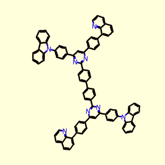 c1cnc2c(-c3ccc(-c4cc(-c5ccc(-n6c7ccccc7c7ccccc76)cc5)nc(-c5ccc(-c6ccc(-c7nc(-c8ccc(-c9cccc%10cccnc9%10)cc8)cc(-c8ccc(-n9c%10ccccc%10c%10ccccc%109)cc8)n7)cc6)cc5)n4)cc3)cccc2c1